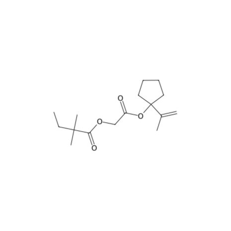 C=C(C)C1(OC(=O)COC(=O)C(C)(C)CC)CCCC1